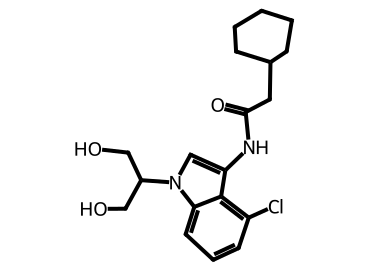 O=C(CC1CCCCC1)Nc1cn(C(CO)CO)c2cccc(Cl)c12